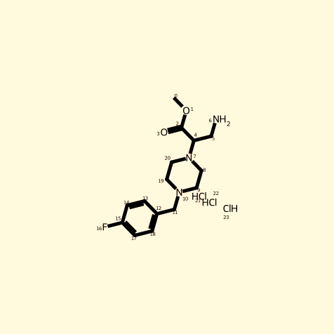 COC(=O)C(CN)N1CCN(Cc2ccc(F)cc2)CC1.Cl.Cl.Cl